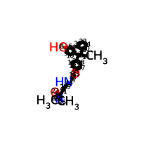 CCC(=C(c1ccc(O)cc1)c1ccc(OCCNCC=CC(=O)N(C)C)cc1)c1ccccc1